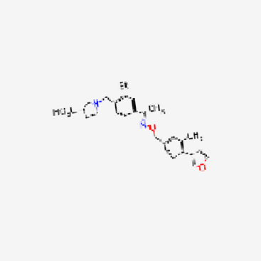 CCc1cc(/C(C)=N/OCc2ccc(-c3ccoc3)c(C)c2)ccc1CN1CC[C@H](C(=O)O)C1